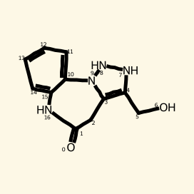 O=C1CC2=C(CO)NNN2c2ccccc2N1